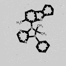 Cc1ccc2c(oc3ccccc32)c1N1c2nccnc2N(c2ccccc2)C1(C)C